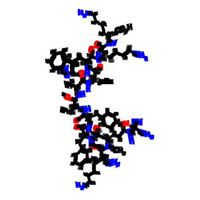 CCCC[C@H](NC(=O)[C@@H](NC(=O)[C@@H](NC(=O)[C@H](Cc1ccc(O)cc1)NC(=O)[C@H](Cc1ccccc1)NC(=O)[C@H](CCCNC(=N)N)N(C)C(=O)[C@H](N)CCCCN)C(C)C)C(C)C)C(=O)N[C@@H](Cc1c[nH]c2ccccc12)C(=O)N[C@@H](CCCCN)C(=O)N[C@H](CCCCN)C(=O)O